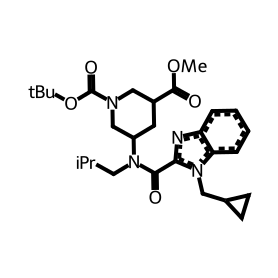 COC(=O)C1CC(N(CC(C)C)C(=O)c2nc3ccccc3n2CC2CC2)CN(C(=O)OC(C)(C)C)C1